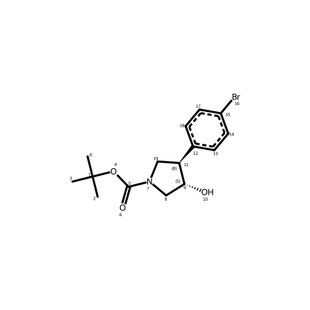 CC(C)(C)OC(=O)N1C[C@@H](O)[C@H](c2ccc(Br)cc2)C1